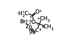 [Br][Zn][Br].[CH2]C(=O)OC(C)(C)C